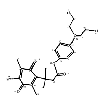 CCCC1=C(C)C(=O)C(C(C)(C)CC(=O)Oc2ccc(N(CCCl)CCCl)cc2)=C(C)C1=O